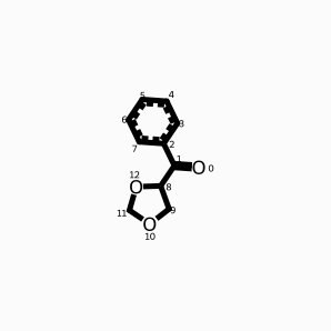 O=C(c1ccccc1)C1COCO1